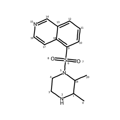 CC1NCCN(S(=O)(=O)c2cccc3cnccc23)C1C